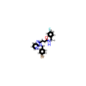 C[C@H](NC(=O)CCc1nc2cccnc2n1Cc1ccc(Br)cc1)c1ccc(F)cc1